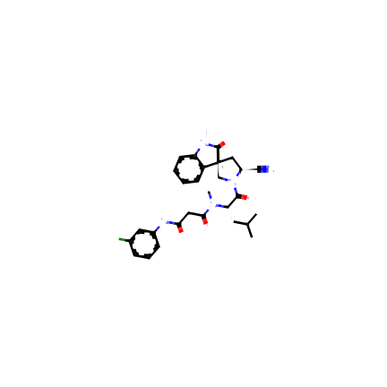 CC(C)C[C@@H](C(=O)N1C[C@]2(C[C@H]1C#N)C(=O)Nc1ccccc12)N(C)C(=O)CC(=O)Nc1cccc(F)c1